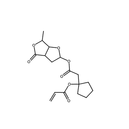 C=CC(=O)OC1(CC(=O)OC2CC3C(=O)OC(C)C3O2)CCCC1